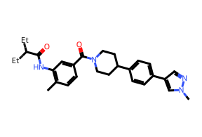 CCC(CC)C(=O)Nc1cc(C(=O)N2CCC(c3ccc(-c4cnn(C)c4)cc3)CC2)ccc1C